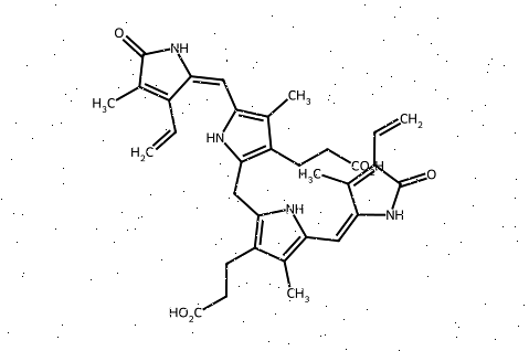 C=CC1=C(C)C(=Cc2[nH]c(Cc3[nH]c(C=C4NC(=O)C(C)=C4C=C)c(C)c3CCC(=O)O)c(CCC(=O)O)c2C)NC1=O